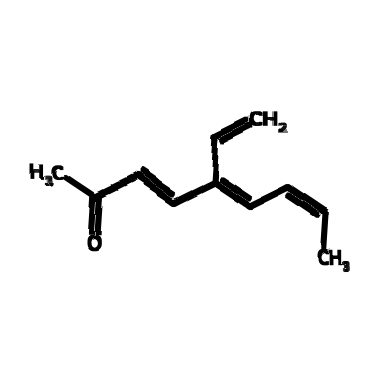 C=CC(/C=C/C(C)=O)=C\C=C/C